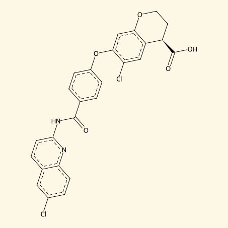 O=C(Nc1ccc2cc(Cl)ccc2n1)c1ccc(Oc2cc3c(cc2Cl)[C@H](C(=O)O)CCO3)cc1